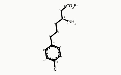 CCOC(=O)C[C@@H](N)CCCc1ccc(Cl)cc1